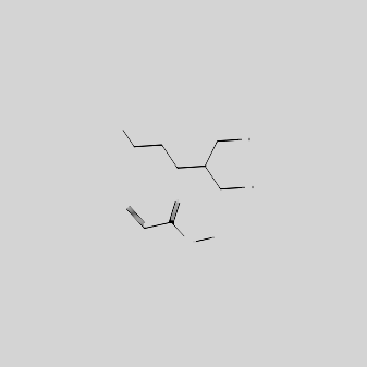 C=CC(=O)OC=O.OCCCC(CO)CO